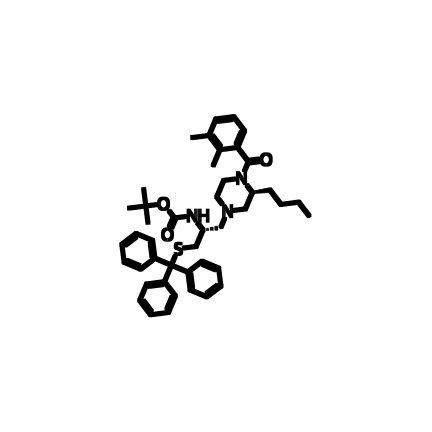 CCCC[C@H]1CN(C[C@H](CSC(c2ccccc2)(c2ccccc2)c2ccccc2)NC(=O)OC(C)(C)C)CCN1C(=O)c1cccc(C)c1C